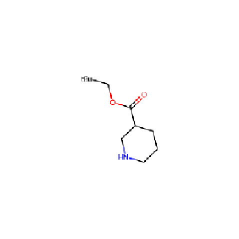 CC(C)(C)COC(=O)C1CCCNC1